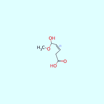 COC(O)/C=C\CC(=O)O